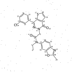 CCN(C(=O)Cn1nc(-c2cccc(Cl)c2)c2sccc2c1=O)c1ccc2nc(C)oc2c1